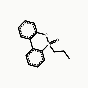 CCCP1(=O)Oc2ccccc2-c2ccccc21